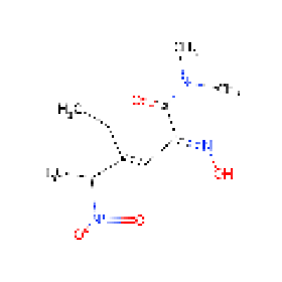 CC/C(=C\C(=N/O)C(=O)N(C)C)C(C)[N+](=O)[O-]